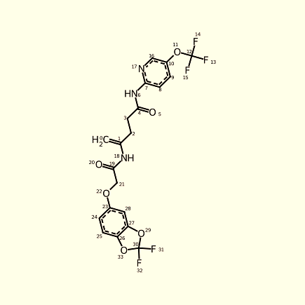 C=C(CCC(=O)Nc1ccc(OC(F)(F)F)cn1)NC(=O)COc1ccc2c(c1)OC(F)(F)O2